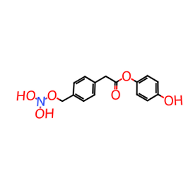 O=C(Cc1ccc(CON(O)O)cc1)Oc1ccc(O)cc1